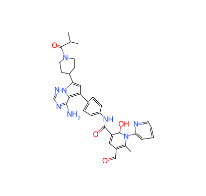 CC1=C(C=O)C=C(C(=O)Nc2ccc(-c3cc(C4CCN(C(=O)C(C)C)CC4)n4ncnc(N)c34)cc2)C(O)N1c1ccccn1